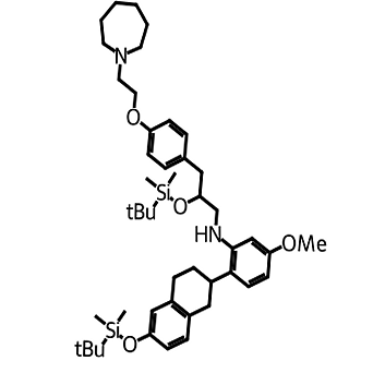 COc1ccc(C2CCc3cc(O[Si](C)(C)C(C)(C)C)ccc3C2)c(NCC(Cc2ccc(OCCN3CCCCCC3)cc2)O[Si](C)(C)C(C)(C)C)c1